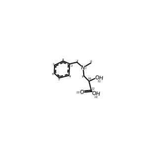 CN(Cc1ccccc1)CC(O)C(=O)O